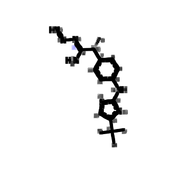 C[C@@H](/C(N)=N/N=N)c1ccc(Nc2nc(C(C)(C)C)cs2)cc1